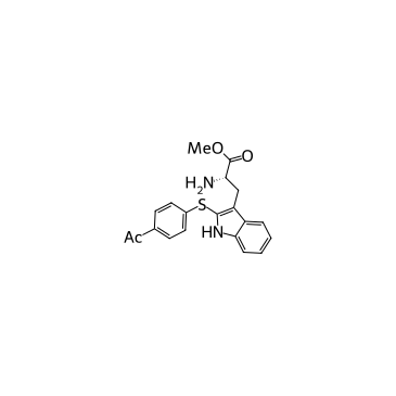 COC(=O)[C@@H](N)Cc1c(Sc2ccc(C(C)=O)cc2)[nH]c2ccccc12